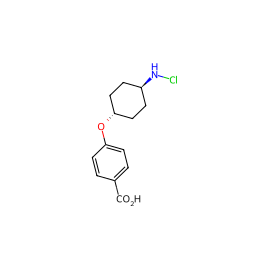 O=C(O)c1ccc(O[C@H]2CC[C@H](NCl)CC2)cc1